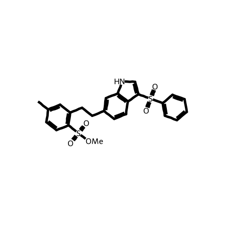 COS(=O)(=O)c1ccc(C)cc1CCc1ccc2c(S(=O)(=O)c3ccccc3)c[nH]c2c1